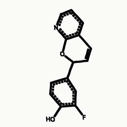 Oc1ccc(C2C=Cc3cccnc3O2)cc1F